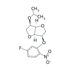 CC(C)O[C@@H]1CO[C@H]2[C@@H]1OC[C@H]2Oc1cc(F)ccc1[N+](=O)[O-]